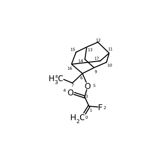 C=C(F)C(=O)OC1(CC)C2CC3CC(C2)CC1C3